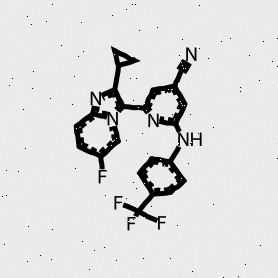 N#Cc1cc(Nc2ccc(C(F)(F)F)cc2)nc(-c2c(C3CC3)nc3ccc(F)cn23)c1